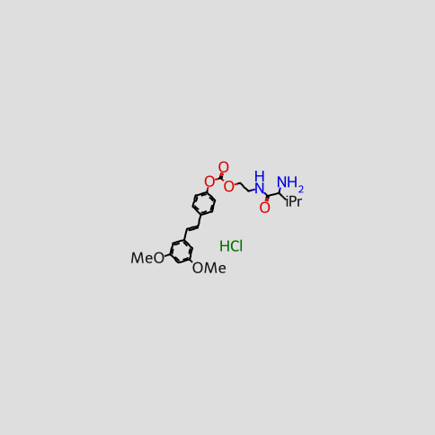 COc1cc(C=Cc2ccc(OC(=O)OCCNC(=O)C(N)C(C)C)cc2)cc(OC)c1.Cl